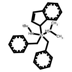 C[SiH](C)[Zr]([CH2]c1ccccc1)([CH2]c1ccccc1)([NH]C(C)(C)C)[CH]1C=Cc2ccccc21